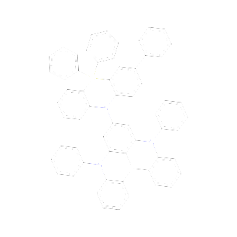 c1ccc(-c2ccc3c(c2)S(c2ccccc2)(c2ccccc2)c2ccccc2N3c2cc3c4c(c2)N(c2ccccc2)c2ccccc2B4c2ccccc2N3c2ccccc2)cc1